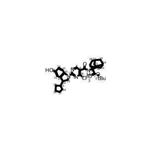 CC(C)(C)OC(=O)C1(NC(=O)c2cnc(N3CC(C4CCCC4)c4cc(O)ccc43)nc2C(F)(F)F)C2CC3CC(C2)CC1C3